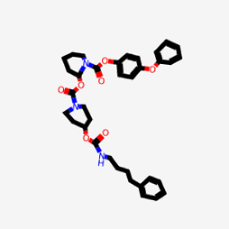 O=C(NCCCCc1ccccc1)OC1CCN(C(=O)OC2CCCCN2C(=O)Oc2ccc(Oc3ccccc3)cc2)CC1